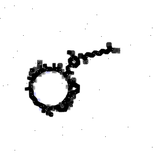 CO[C@H]1C[C@@H]2CC[C@@H](C)[C@@](O)(O2)C(=O)C(=O)N2CCCC[C@H]2C(=O)O[C@H]([C@H](C)C[C@@H]2CC[C@@H](OC(=O)CCCCCCC(=O)O)[C@H](OC)C2)CC(=O)[C@H](C)/C=C(\C)[C@@H](O)[C@@H](OC)C(=O)[C@H](C)C[C@H](C)/C=C/C=C/C=C/1C